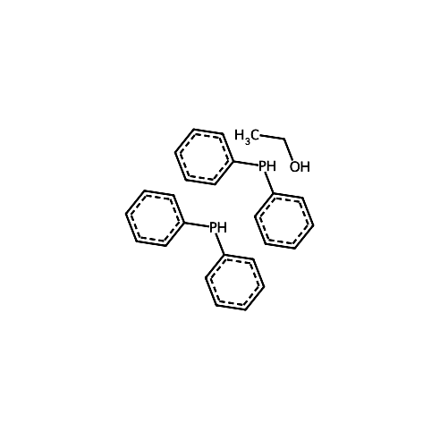 CCO.c1ccc(Pc2ccccc2)cc1.c1ccc(Pc2ccccc2)cc1